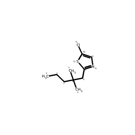 CCCC(C)(C)Cc1ncc(Cl)s1